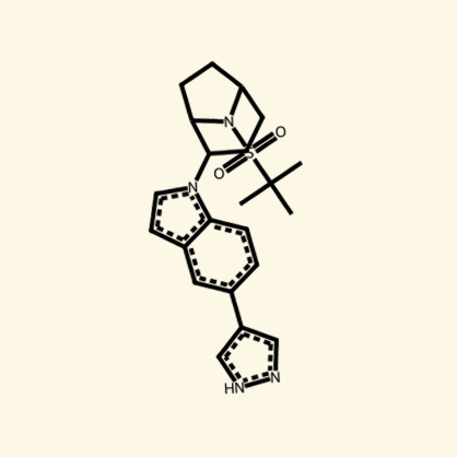 CC(C)(C)S(=O)(=O)N1C2CCC1C(n1ccc3cc(-c4cn[nH]c4)ccc31)CC2